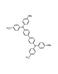 CCCCc1ccc(N(c2ccc(C)cc2)c2ccc(-c3ccc(N(c4ccc(C)cc4)c4ccc(CCCC)cc4)cc3)cc2)cc1